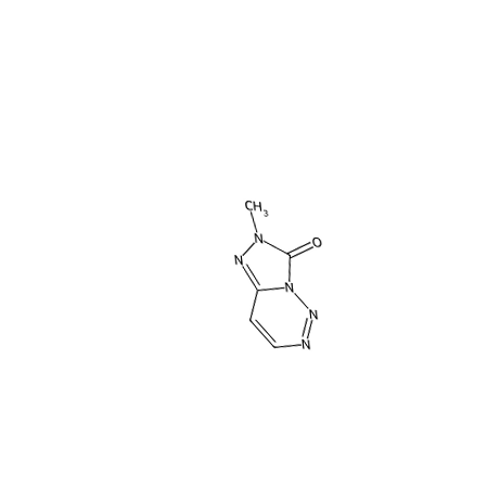 Cn1nc2ccnnn2c1=O